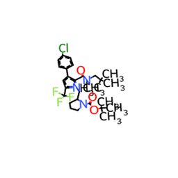 CN(CC(C)(C)C)C(=O)c1c(-c2ccc(Cl)cc2)cc(C(F)(F)F)n1CC1CCCN1C(=O)OC(C)(C)C